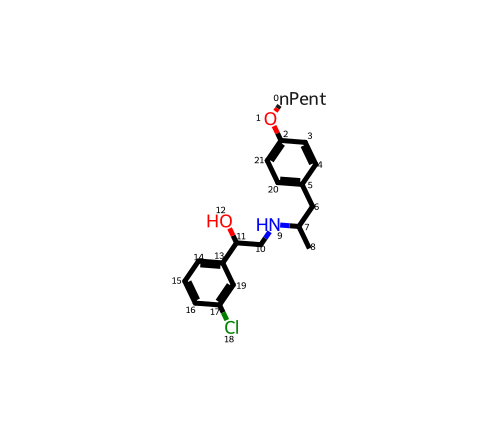 CCCCCOc1ccc(CC(C)NCC(O)c2cccc(Cl)c2)cc1